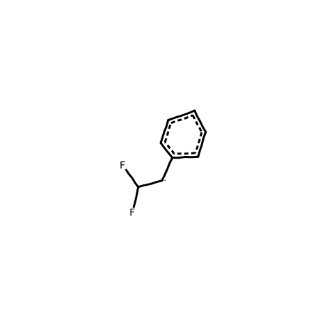 FC(F)[CH]c1ccccc1